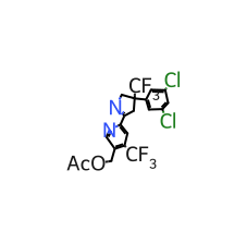 CC(=O)OCc1cnc(C2=NCC(c3cc(Cl)cc(Cl)c3)(C(F)(F)F)C2)cc1C(F)(F)F